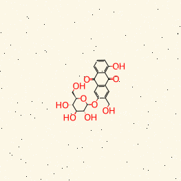 O=C1c2cc(O[C@@H]3O[C@H](CO)[C@@H](O)[C@H](O)[C@H]3O)c(CO)cc2C(=O)c2c(O)cccc21